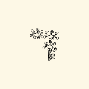 O=P([O-])([O-])C(Br)P(=O)([O-])[O-].O=P([O-])([O-])C(Br)P(=O)([O-])[O-].O=P([O-])([O-])C(Br)P(=O)([O-])[O-].[Fe+3].[Fe+3].[Fe+3].[Fe+3]